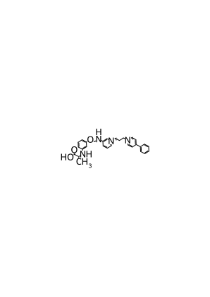 CC(Nc1cccc(OCNc2ccc[n+](CCC[n+]3ccc(-c4ccccc4)cc3)c2)c1)C(=O)O